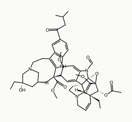 CC[C@]1(O)C[C@H]2CN(CCc3c([nH]c4ccc(C(=O)CC(C)C)cc34)[C@@](C(=O)OC)(C3C=C4C(=CC3OC)N(C=O)[C@@]35O[C@]3(C(=O)OC)[C@H](OC(C)=O)[C@]3(CC)C=CCN6CC[C@]45[C@@H]63)C2)C1